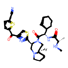 CN[C@@H](C)C(=O)N[C@H](C(=O)N1C[C@H]2CCCN2C[C@H]1c1nc(C(=O)c2ccc(C#N)s2)cs1)C1CCCCC1